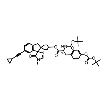 CN1C=NC2(C1=O)c1cc(C#CC3CC3)ccc1CC21CCC(OC(=O)[C@H](Cc2ccc(OC(=O)OC(C)(C)C)cc2)NC(=O)OC(C)(C)C)CC1